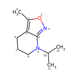 Cc1onc2c1CCCN2C(C)C